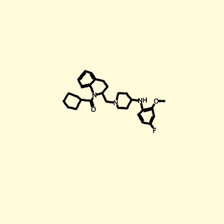 COc1cc(F)ccc1NC1CCN(CC2CCc3ccccc3N2C(=O)C2CCCCC2)CC1